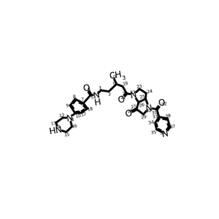 CC(CCNC(=O)c1ccc(N2CCNCC2)cc1)CC(=O)N1CCC2C1C(=O)CN2C(=O)c1ccncc1